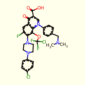 CN(C)Cc1ccc(-n2cc(C(=O)O)c(=O)c3cc(F)c(N4CCN(c5ccc(Cl)cc5)CC4)c(OC(F)(F)Cl)c32)cc1